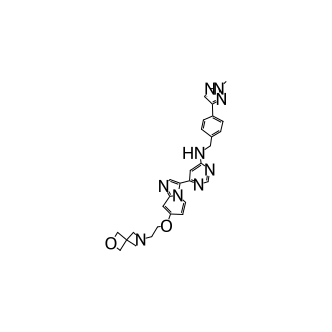 Cn1ncc(-c2ccc(CNc3cc(-c4cnc5cc(OCCN6CC7(COC7)C6)ccn45)ncn3)cc2)n1